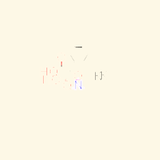 CCCCN(CCCC)OC(C(=O)O)(C(=O)O)c1ccccc1.[K].[K]